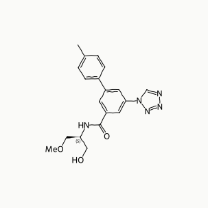 COC[C@H](CO)NC(=O)c1cc(-c2ccc(C)cc2)cc(-n2cnnn2)c1